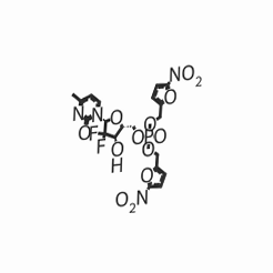 Cc1ccn([C@@H]2O[C@H](COP(=O)(OCc3ccc([N+](=O)[O-])o3)OCc3ccc([N+](=O)[O-])o3)[C@@H](O)C2(F)F)c(=O)n1